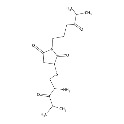 CC(C)C(=O)CCCN1C(=O)CC(SCC(N)C(=O)C(C)C)C1=O